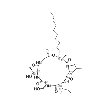 CCCCCCCCCC[C@H]1OC(=O)CNC(=O)[C@H]([C@H](C)O)NC(=O)[C@H](CO)NC(=O)[C@H]([C@@H](C)CC)NC(=O)[C@H](CC(C)C)N(C)C(=O)[C@@H]1C